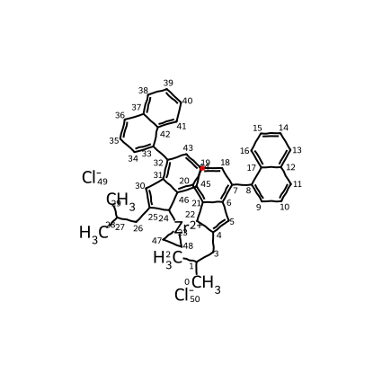 CC(C)CC1=Cc2c(-c3cccc4ccccc34)cccc2[CH]1[Zr+2]1([CH]2C(CC(C)C)=Cc3c(-c4cccc5ccccc45)cccc32)[CH2][CH2]1.[Cl-].[Cl-]